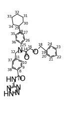 O=C(Nc1nn[nH]n1)c1ccc(CN(C(=O)COCc2ccccc2)c2ccc(C3CCCCC3)cc2)cc1